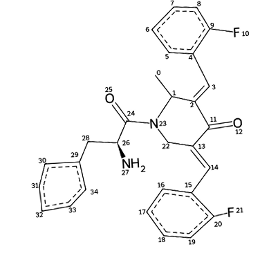 CC1/C(=C\c2ccccc2F)C(=O)/C(=C/c2ccccc2F)CN1C(=O)[C@@H](N)Cc1ccccc1